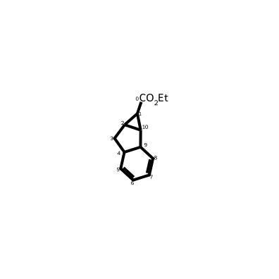 CCOC(=O)C1C2CC3C=CC=CC3C21